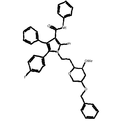 COC1CC(OCc2ccccc2)COC1CCn1c(-c2ccc(F)cc2)c(-c2ccccc2)c(C(=O)Nc2ccccc2)c1C(C)C